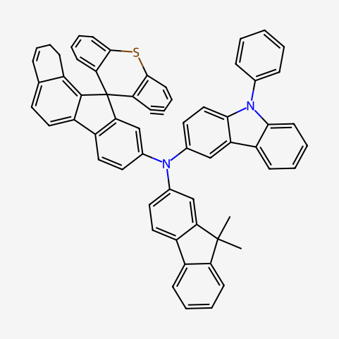 CC1(C)c2ccccc2-c2ccc(N(c3ccc4c(c3)C3(c5c#cccc5Sc5ccccc53)c3c-4ccc4c3CCC=C4)c3ccc4c(c3)c3ccccc3n4-c3ccccc3)cc21